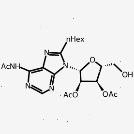 CCCCCCc1nc2c(NC(C)=O)ncnc2n1[C@@H]1O[C@H](CO)[C@@H](OC(C)=O)[C@H]1OC(C)=O